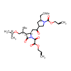 C=CCOC(=O)C(=O)N1C(=O)[C@@H]([C@@H](CO[SiH](C)C)C(C)(C)C)[C@H]1CC(=O)C1C[C@@H](COC)N(C(=O)OCC=C)C1